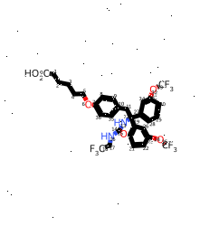 O=C(O)CCCCCOc1ccc(CC(NC(=O)NCC(F)(F)F)(c2cccc(OC(F)(F)F)c2)c2cccc(OC(F)(F)F)c2)cc1